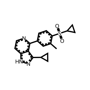 Cc1cc(-c2nccc3[nH]nc(C4CC4)c23)ccc1S(=O)(=O)C1CC1